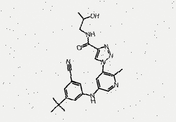 Cc1ncc(Nc2cc(C#N)cc(C(C)(C)C)c2)cc1-n1cc(C(=O)NCC(C)O)nn1